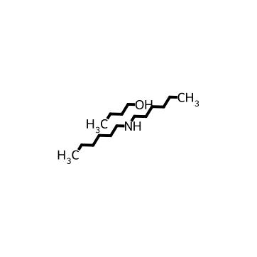 CCCCCCNCCCCCC.CCCCO